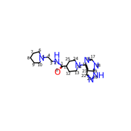 O=C(NCCN1CCCCC1)C1CCN(c2ncnc3[nH]ncc23)CC1